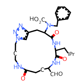 CC(C)CC1NC(=O)C(N(Cc2ccccc2)C(=O)O)Cc2cn(nn2)CCCNC(=O)CCC(C=O)NC1=O